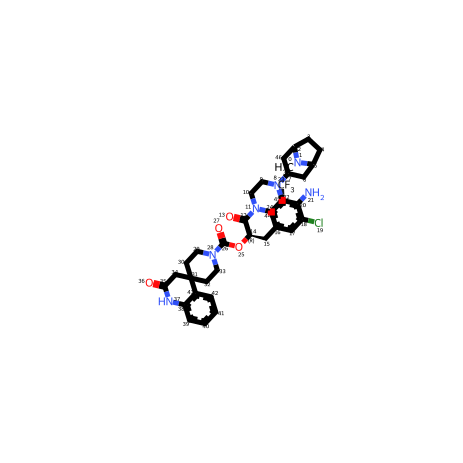 CN1C2CCC1CC(N1CCN(C(=O)[C@@H](Cc3cc(Cl)c(N)c(C(F)(F)F)c3)OC(=O)N3CCC4(CC3)CC(=O)Nc3ccccc34)CC1)C2